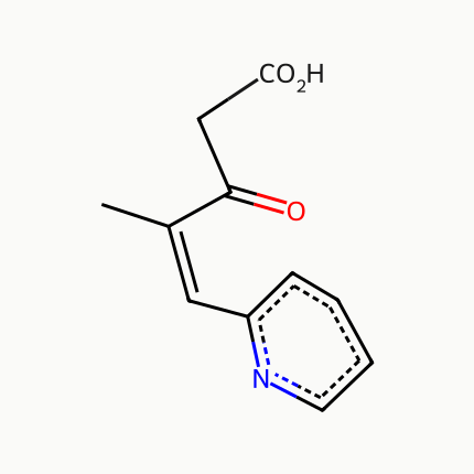 CC(=Cc1ccccn1)C(=O)CC(=O)O